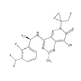 Cc1nc(N[C@H](C)c2cccc(C(F)F)c2F)c2cn(C3(CF)CC3)c(=O)c(C#N)c2n1